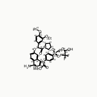 CCOc1cc([C@@H](Oc2ccc3c(N)nccc3c2)C(=O)N2CCC[C@@H]2c2cc(NC(=O)OC)ccc2S(=O)(=O)C(C)C)ccc1OC(C)C.O=C(O)C(F)(F)F